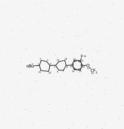 CCCCC1CCC(C2CCC(c3ccc(OC(F)(F)F)c(F)c3)CC2)CC1